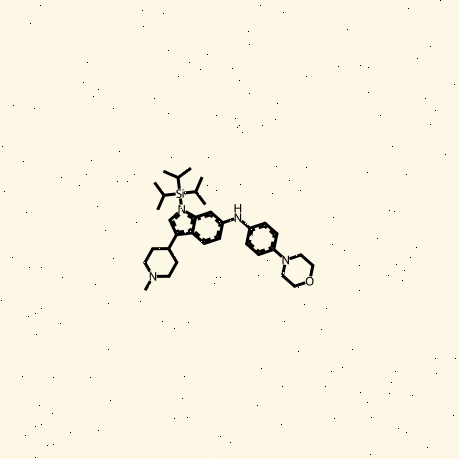 CC(C)[Si](C(C)C)(C(C)C)n1cc(C2CCN(C)CC2)c2ccc(Nc3ccc(N4CCOCC4)cc3)cc21